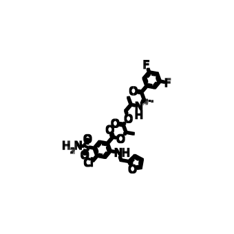 CC(COC(=O)C(C)OC(=O)c1cc(S(N)(=O)=O)c(Cl)cc1NCc1ccco1)N[C@@H](C)C(=O)c1cc(F)cc(F)c1